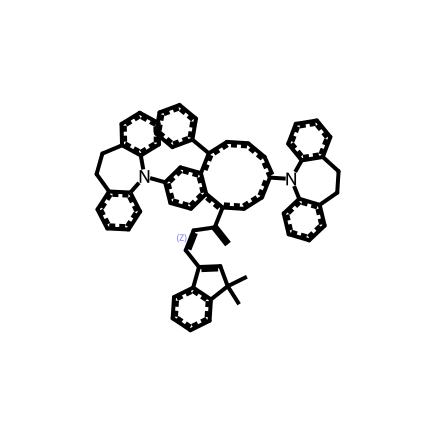 C=C(/C=C\C1=CC(C)(C)c2ccccc21)c1ccc(N2c3ccccc3CCc3ccccc32)cccc(-c2ccccc2)c2cc(N3c4ccccc4CCc4ccccc43)ccc12